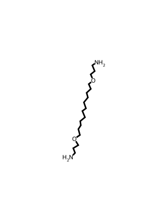 NCCCOCCCCCCCCCCCCOCCCN